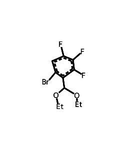 CCOC(OCC)c1c(Br)cc(F)c(F)c1F